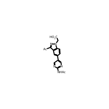 CC(=O)Nc1ncc(-c2ccc3c(c2)c(C(C)=O)nn3CC(=O)O)cn1